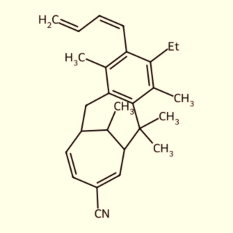 C=C/C=C\c1c(C)c2c(c(C)c1CC)C(C)(C)C1C=C(C#N)C=CC(C2)C1C